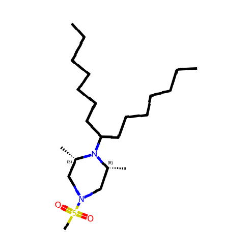 CCCCCCCC(CCCCCCC)N1[C@H](C)CN(S(C)(=O)=O)C[C@@H]1C